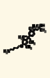 CCC(CC)(c1ccc(CCC(C)(C)O)c(C)c1)c1ccc(OCCCCCN)c(C)c1